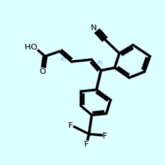 N#Cc1ccccc1/C(=C/C=C/C(=O)O)c1ccc(C(F)(F)F)cc1